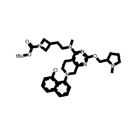 CN(CCC1CN(C(=O)OC(C)(C)C)C1)c1nc(OCC2CCCN2C)nc2c1CCN(c1cccc3cccc(Cl)c13)C2